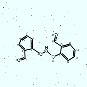 O=Cc1ccccc1OBOc1ccccc1C=O